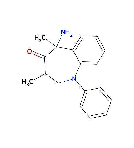 CC1CN(c2ccccc2)c2ccccc2C(C)(N)C1=O